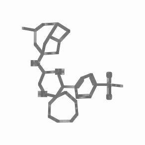 CC1CC2CC3CC(NC4CNC5(CCCCCCC5)C(c5ccc(S(C)(=O)=O)cc5)N4)(C1)CC23